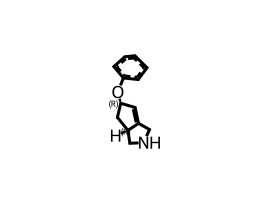 C1=C2CNC[C@@H]2C[C@H]1Oc1ccccc1